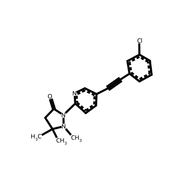 CN1N(c2ccc(C#Cc3cccc(Cl)c3)cn2)C(=O)CC1(C)C